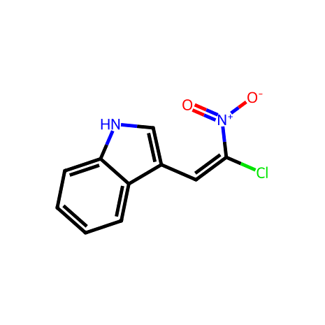 O=[N+]([O-])/C(Cl)=C\c1c[nH]c2ccccc12